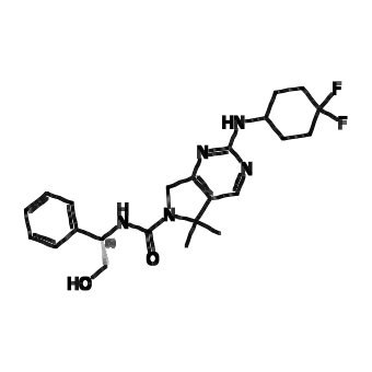 CC1(C)c2cnc(NC3CCC(F)(F)CC3)nc2CN1C(=O)N[C@H](CO)c1ccccc1